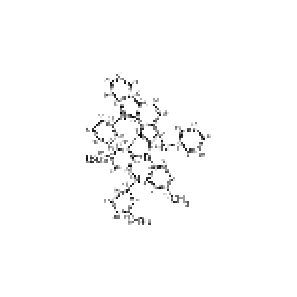 Cc1cc2c3c(c1)N(c1ccccc1)c1c4n(c5c1ccc1c6ccccc6n(-c6ccccc6)c15)-c1cc(C(C)(C)C)cc(c1B34)N2c1cccc(C(C)(C)C)c1